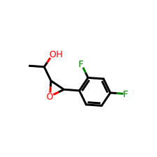 CC(O)C1OC1c1ccc(F)cc1F